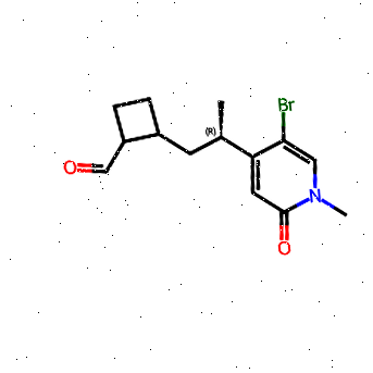 C[C@H](CC1CCC1C=O)c1cc(=O)n(C)cc1Br